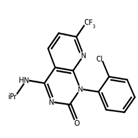 CC(C)Nc1nc(=O)n(-c2ccccc2Cl)c2nc(C(F)(F)F)ccc12